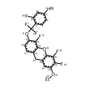 CCCc1ccc(C(F)(F)Oc2ccc3c(c2F)Oc2c(cc(OCC)c(F)c2F)C3)c(F)c1